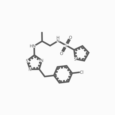 CC(CNS(=O)(=O)c1cccs1)Nc1nc(Cc2ccc(Cl)cc2)ns1